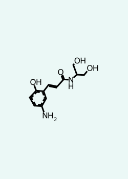 Nc1ccc(O)c(/C=C/C(=O)NC(CO)CO)c1